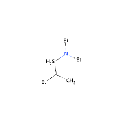 CCC(C)[SiH2]N(CC)CC